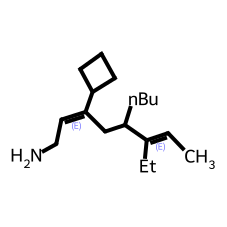 C/C=C(\CC)C(CCCC)C/C(=C\CN)C1CCC1